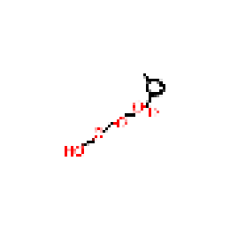 CC1C=CC=C(C(=O)OCCOCCOCCO)C1